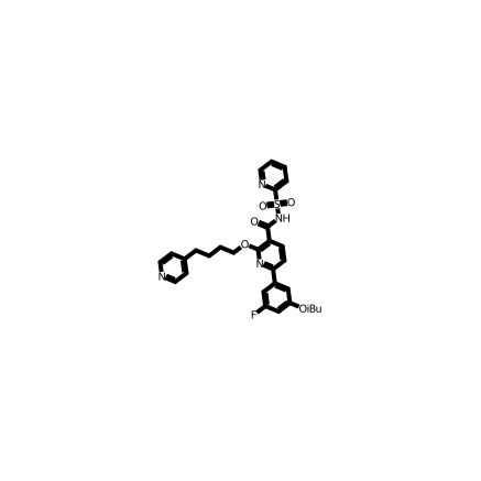 CC(C)COc1cc(F)cc(-c2ccc(C(=O)NS(=O)(=O)c3ccccn3)c(OCCCCc3ccncc3)n2)c1